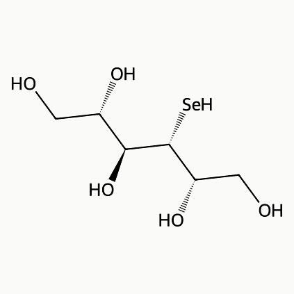 OC[C@H](O)[C@H](O)[C@H]([SeH])[C@@H](O)CO